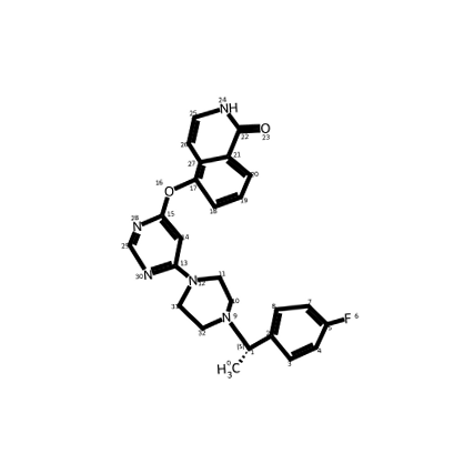 C[C@@H](c1ccc(F)cc1)N1CCN(c2cc(Oc3cccc4c(=O)[nH]ccc34)ncn2)CC1